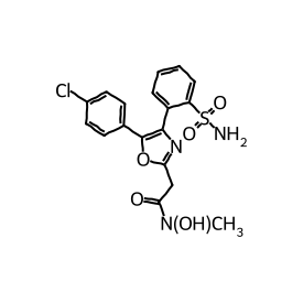 CN(O)C(=O)Cc1nc(-c2ccccc2S(N)(=O)=O)c(-c2ccc(Cl)cc2)o1